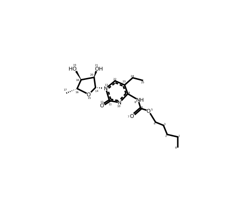 CCCCCOC(=O)Nc1nc(=O)n([C@@H]2O[C@H](C)[C@@H](O)[C@H]2O)cc1CC